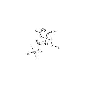 CCCC(CCC)(NC(=O)OC(C)(C)C)C(=O)O